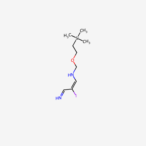 C[Si](C)(C)CCOCN/C=C(/I)C=N